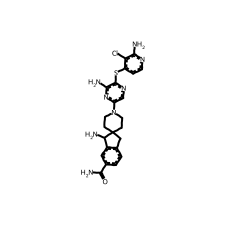 NC(=O)c1ccc2c(c1)C(N)C1(CCN(c3cnc(Sc4ccnc(N)c4Cl)c(N)n3)CC1)C2